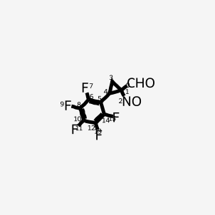 O=CC1(N=O)CC1c1c(F)c(F)c(F)c(F)c1F